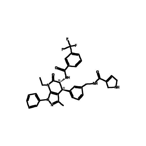 CCN1C(=O)[C@H](NC(=O)c2cccc(C(F)(F)F)c2)[C@@H](c2cccc(CNC(=O)C3=CCNC3)c2)c2c(C)nn(-c3ccccc3)c21